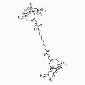 CN(C)CC1C(=O)O[C@H]2[C@H]1CC/C(COC(=O)NCCCCCCCCNC(=O)OC/C1=C/CC[C@@]3(C)O[C@H]3[C@H]3OC(=O)C(CN(C)C)[C@@H]3CC1)=C\CC[C@@]1(C)O[C@@H]21